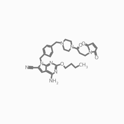 CCCCOc1nc(N)c2cc(C#N)n(Cc3ccc(CN4CCN(C(=O)CCN5C(=O)C=CC5=O)CC4)cc3)c2n1